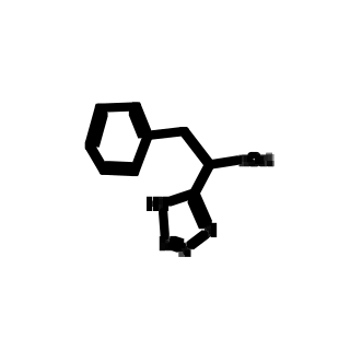 [CH2]CCCCCCCC(Cc1ccccc1)c1nnn[nH]1